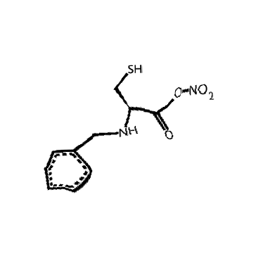 O=C(O[N+](=O)[O-])[C@H](CS)NCc1ccccc1